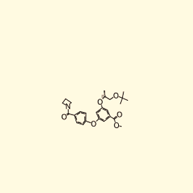 COC(=O)c1cc(Oc2ccc(C(=O)N3CCC3)cc2)cc(O[C@@H](C)COC(C)(C)C)c1